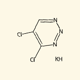 Clc1cnnnc1Cl.[KH]